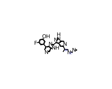 C=N/C=N\C=C(/C)c1cc2c(-c3nc4c(-c5cc(O)cc(F)c5)cncc4[nH]3)n[nH]c2cn1